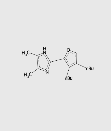 CCCCc1[c]oc(-c2nc(C)c(C)[nH]2)c1CCCC